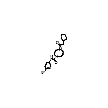 O=C(CC1CCCC1)N1CCCN(C(=O)Nc2ccc(Br)cc2)CC1